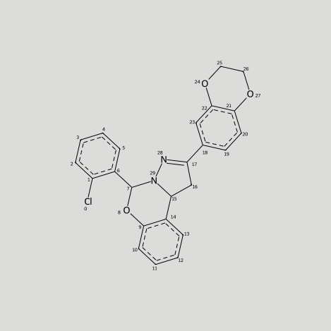 Clc1ccccc1C1Oc2ccccc2C2CC(c3ccc4c(c3)OCCO4)=NN21